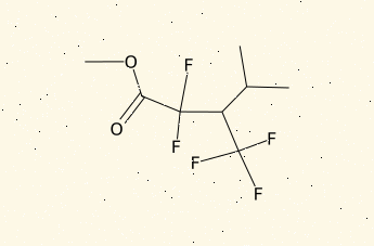 COC(=O)C(F)(F)C(C(C)C)C(F)(F)F